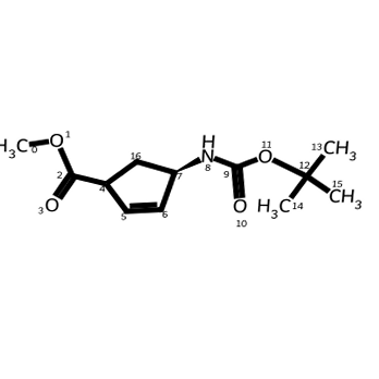 COC(=O)C1C=C[C@H](NC(=O)OC(C)(C)C)C1